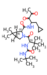 CC(=O)C(=O)C(CC1CC1)NC(=O)[C@@H]1[C@@H]2[C@H](CN1C(=O)[C@@H](NC(=O)NC(C)(C)C)C(C)(C)C)C2(C)C